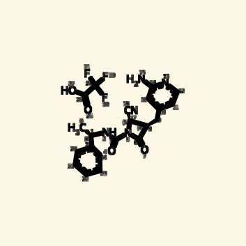 C[C@@H](NC(=O)N1C(=O)[C@H](Cc2ccnc(N)c2)[C@H]1C#N)c1ccccc1.O=C(O)C(F)(F)F